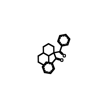 O=C(c1ccccc1)C1(C(=O)c2ccccc2)CCCC2CCCCC21